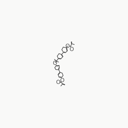 C=C(C)C(=O)OC1=CC=C(C2=CC=C(OC(C)(C)C3=CC=C(C4=CC=C(OC(=O)C(=C)C)CC4)CC3)CC2)CC1